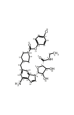 CCNC(=O)[C@H]1O[C@@H](n2cnc3c(N)nc(CC4CCN(C(=O)Oc5ccc(Cl)cc5)CC4)nc32)C(O)C1O